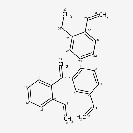 C=Cc1ccccc1.C=Cc1ccccc1C=C.C=Cc1ccccc1CC